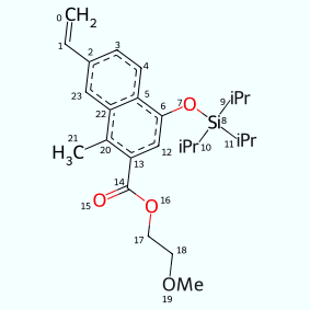 C=Cc1ccc2c(O[Si](C(C)C)(C(C)C)C(C)C)cc(C(=O)OCCOC)c(C)c2c1